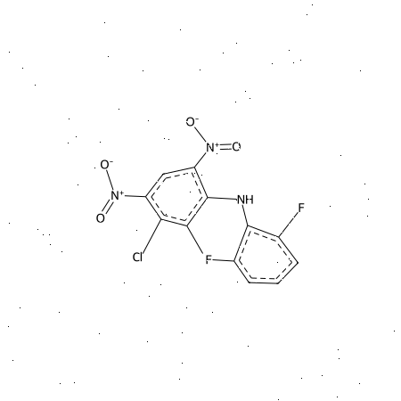 Cc1c(Cl)c([N+](=O)[O-])cc([N+](=O)[O-])c1Nc1c(F)cccc1F